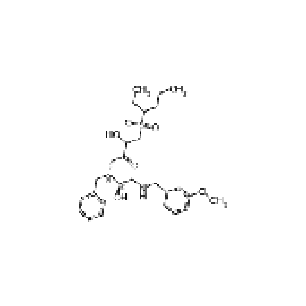 CCCC(CC)S(=O)(=O)CC(O)C(=O)C[C@@H](Cc1ccccc1)[C@H](O)CNCc1cccc(OC)c1